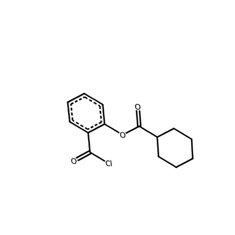 O=C(Cl)c1ccccc1OC(=O)C1CCCCC1